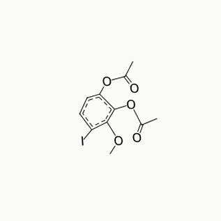 COc1c(I)ccc(OC(C)=O)c1OC(C)=O